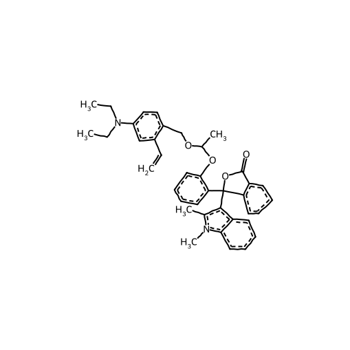 C=Cc1cc(N(CC)CC)ccc1COC(C)Oc1ccccc1C1(c2c(C)n(C)c3ccccc23)OC(=O)c2ccccc21